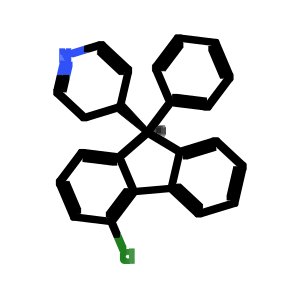 Clc1cccc2c1-c1ccccc1[C@]2(c1ccccc1)C1C=CN=CC1